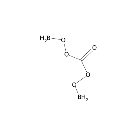 BOOC(=O)OOB